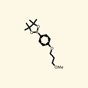 COCCCOc1ccc(B2OC(C)(C)C(C)(C)O2)cc1